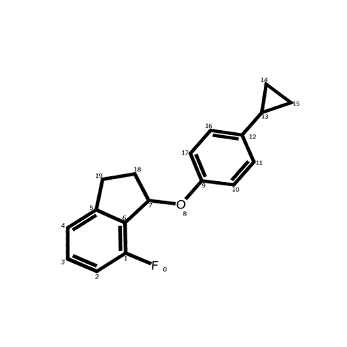 Fc1cccc2c1C(Oc1ccc(C3CC3)cc1)CC2